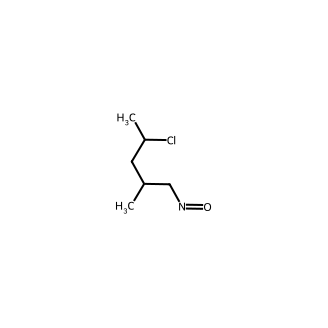 CC(Cl)CC(C)CN=O